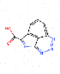 O=C(O)C1=Nc2nnnc3cccc1c23